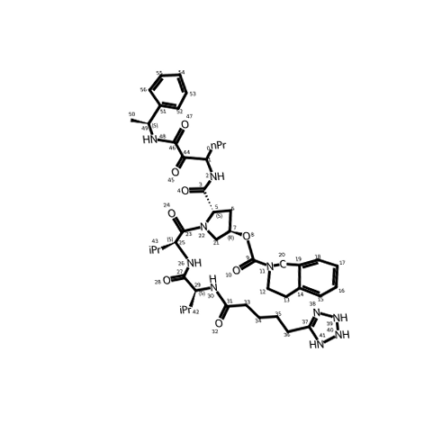 CCCC(NC(=O)[C@@H]1C[C@@H](OC(=O)N2CCc3ccccc3C2)CN1C(=O)[C@@H](NC(=O)[C@@H](NC(=O)CCCCC1=NNNN1)C(C)C)C(C)C)C(=O)C(=O)N[C@@H](C)c1ccccc1